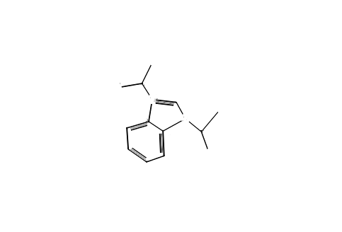 CC(C)n1c[n+](C(C)C)c2cc[c]cc21